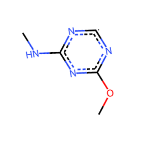 CNc1n[c]nc(OC)n1